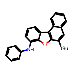 CC(C)(C)c1cc2ccccc2c2c1oc1c(Nc3ccccc3)cccc12